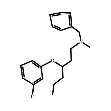 CCCC(CCN(C)Cc1ccccc1)Oc1cccc(Cl)c1